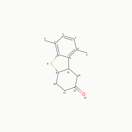 Cc1ccc(C)c2c1SC1CCC(=O)CC21